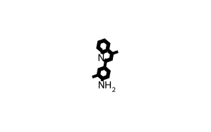 Cc1cc(-c2cc(C)c3ccccc3n2)ccc1N